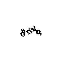 CCc1c(-c2ccc(F)cc2)nn(C)c1Nc1cc(-n2nc(C)c3ccncc32)ncn1